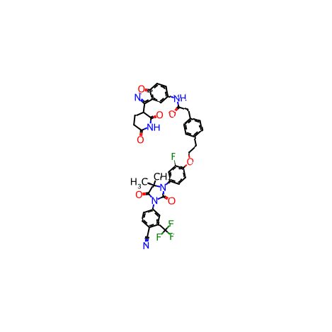 CC1(C)C(=O)N(c2ccc(C#N)c(C(F)(F)F)c2)C(=O)N1c1ccc(OCCc2ccc(CC(=O)Nc3ccc4onc(C5CCC(=O)NC5=O)c4c3)cc2)c(F)c1